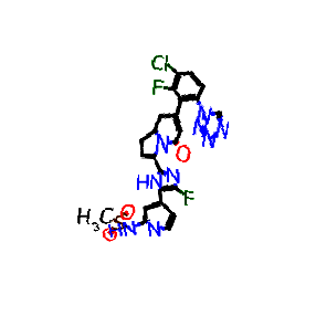 CS(=O)(=O)Nc1cc(-c2[nH]c(C3CCC4CC(c5c(-n6cnnn6)ccc(Cl)c5F)=CC(=O)N43)nc2F)ccn1